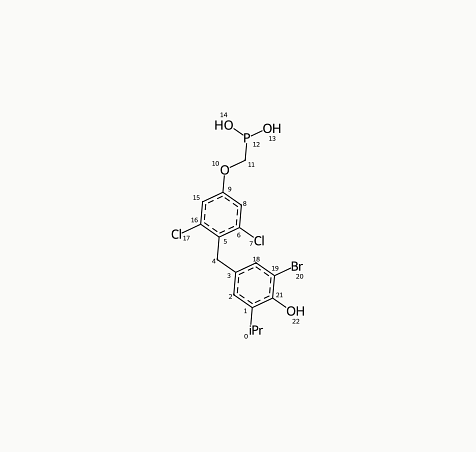 CC(C)c1cc(Cc2c(Cl)cc(OCP(O)O)cc2Cl)cc(Br)c1O